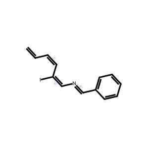 C=C\C=C/C(I)=C\N=C\c1ccccc1